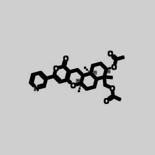 CC(=O)OCC1(C)C2CC[C@@]3(C)Oc4cc(-c5cccnc5)oc(=O)c4CC3[C@@]2(C)CC[C@@H]1OC(C)=O